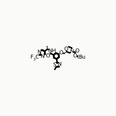 Cc1cnc(-c2cc(OC[C@@H]3CN(C(=O)OC(C)(C)C)CCO3)cc(C(=O)N[C@H](C)c3cnc(C(F)(F)F)nc3)c2)s1